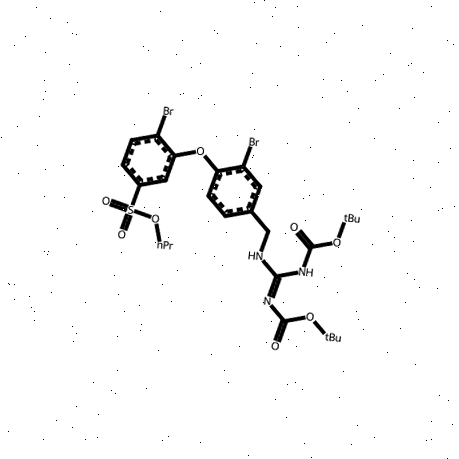 CCCOS(=O)(=O)c1ccc(Br)c(Oc2ccc(CNC(=NC(=O)OC(C)(C)C)NC(=O)OC(C)(C)C)cc2Br)c1